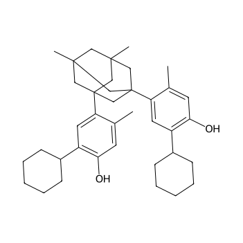 Cc1cc(O)c(C2CCCCC2)cc1C12CC3(C)CC(C)(C1)CC(c1cc(C4CCCCC4)c(O)cc1C)(C3)C2